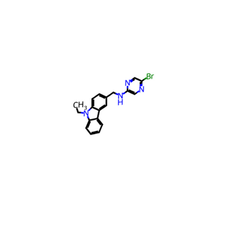 CCn1c2ccccc2c2cc(CNc3cnc(Br)cn3)ccc21